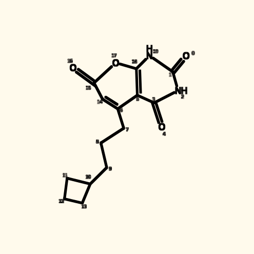 O=c1[nH]c(=O)c2c(CCCC3CCC3)cc(=O)oc2[nH]1